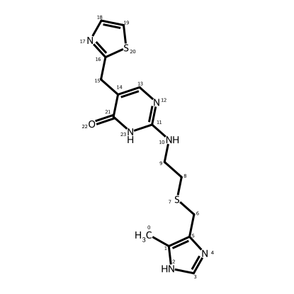 Cc1[nH]cnc1CSCCNc1ncc(Cc2nccs2)c(=O)[nH]1